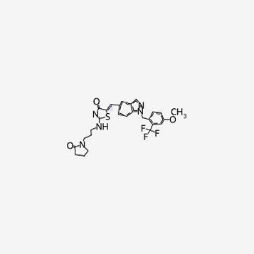 COc1ccc(Cn2ncc3cc(/C=C4\SC(NCCCN5CCCC5=O)=NC4=O)ccc32)c(C(F)(F)F)c1